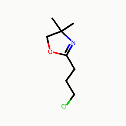 CC1(C)COC(CCCCl)=N1